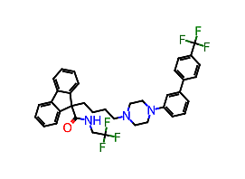 O=C(NCC(F)(F)F)C1(CCCCN2CCN(c3cccc(-c4ccc(C(F)(F)F)cc4)c3)CC2)c2ccccc2-c2ccccc21